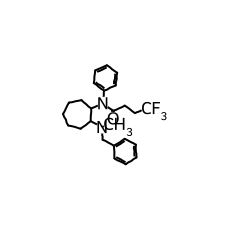 CN(Cc1ccccc1)C1CCCCCC1N(C(=O)CCC(F)(F)F)c1ccccc1